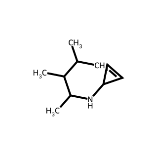 CC(C)C(C)C(C)NC1C=C1